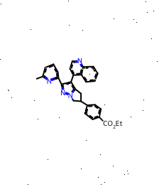 CCOC(=O)c1ccc(C2Cc3c(-c4ccnc5ccccc45)c(-c4cccc(C)n4)nn3C2)cc1